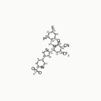 CS(=O)(=O)c1ccc(-c2csc(-c3cc(C(F)(F)F)c(C#N)c(=O)n3Cc3ccc(F)cc3F)c2)cn1